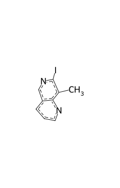 Cc1c(I)ncc2cccnc12